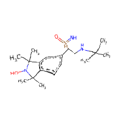 CC(C)(C)NCC(c1ccc2c(c1)C(C)(C)N(O)C2(C)C)[SH](=N)=O